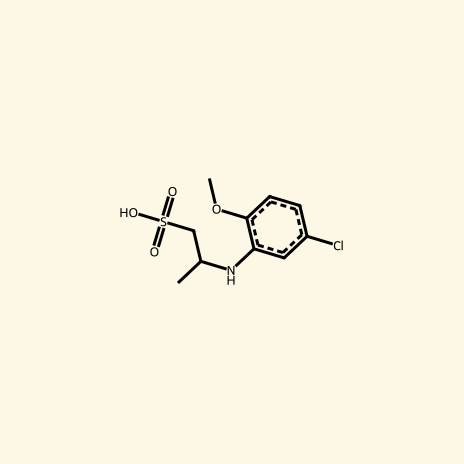 COc1ccc(Cl)cc1NC(C)CS(=O)(=O)O